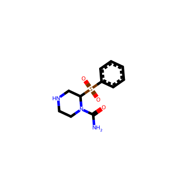 NC(=O)N1CCNCC1S(=O)(=O)c1ccccc1